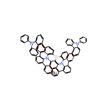 CC(C)(C)c1cc2c3c(c1)N(c1c(-c4ccccc4)cccc1-c1ccccc1)c1cc(-c4cccc5c4c4ccccc4n5-c4ccccc4)ccc1B3c1ccc(-c3cccc4c3c3ccccc3n4-c3ccccc3)cc1N2c1c(-c2ccccc2)cccc1-c1ccccc1